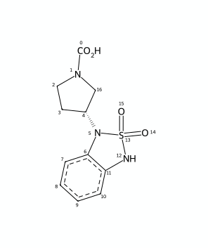 O=C(O)N1CC[C@@H](N2c3ccccc3NS2(=O)=O)C1